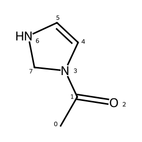 CC(=O)N1C=CNC1